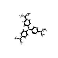 CCCC(N)c1ccc(P(c2ccc(C(N)CCC)cc2)c2ccc(C(N)CCC)cc2)cc1